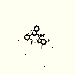 FCc1ccccc1-c1cc(Nc2n[nH]c3c(F)cc(F)cc23)c2ccccc2n1